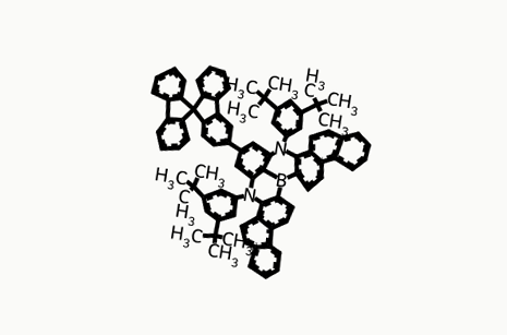 CC(C)(C)c1cc(N2c3cc(-c4ccc5c(c4)-c4ccccc4C54c5ccccc5-c5ccccc54)cc4c3B(c3ccc5c(ccc6ccccc65)c32)c2ccc3c(ccc5ccccc53)c2N4c2cc(C(C)(C)C)cc(C(C)(C)C)c2)cc(C(C)(C)C)c1